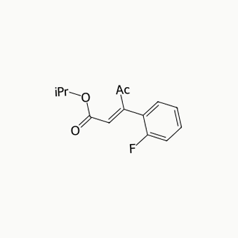 CC(=O)C(=CC(=O)OC(C)C)c1ccccc1F